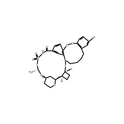 C[C@@H]1CS(=O)(=O)NC(=O)c2ccc3c(c2)N(CCCCc2cc(Cl)ccc2CO3)C[C@@H]2CC[C@H]2[C@H]2C[C@@H](CCO2)O1